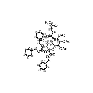 CC(=O)OC[C@@H](OC(C)=O)[C@@H](OC(C)=O)C1O[C@](OP(OCc2ccccc2)OCc2ccccc2)(C(=O)OCc2ccccc2)CC(OC(C)=O)[C@H]1NC(=O)CNC(=O)C(F)(F)F